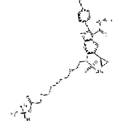 CNC(=O)c1c(-c2ccc(F)cc2)oc2cc(N(CCOCCOCCOCC(=O)OC(C)(C)C)S(C)(=O)=O)c(C3CC3)cc12